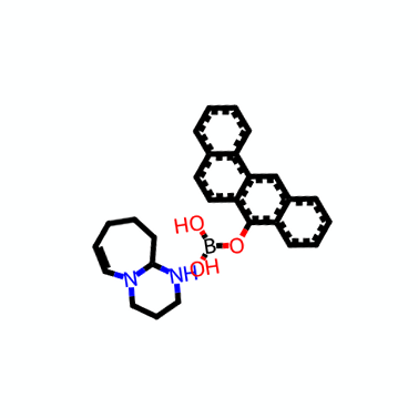 C1=CN2CCCNC2CCC1.OB(O)Oc1c2ccccc2cc2c1ccc1ccccc12